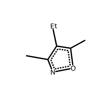 CCc1c(C)noc1C